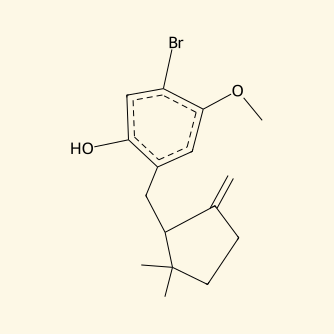 C=C1CCC(C)(C)C1Cc1cc(OC)c(Br)cc1O